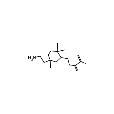 C=C(C)C(=C)CCC1CC(C)(CCN)CCC1(C)C